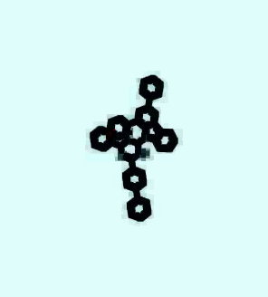 c1ccc(-c2ccc(C3=NC(c4ccccc4)NC(n4c5ccccc5c5cc(-c6ccccc6)cc(-c6ccccc6)c54)N3)cc2)cc1